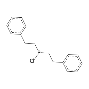 ClP(CCc1ccccc1)CCc1ccccc1